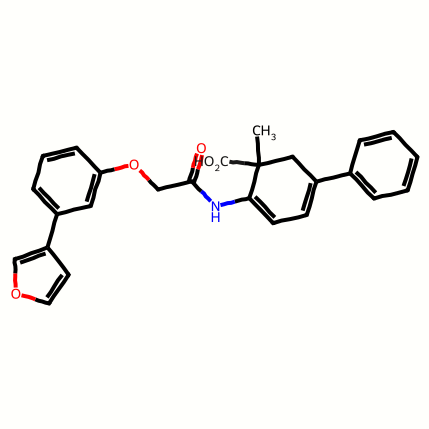 CC1(C(=O)O)CC(c2ccccc2)=CC=C1NC(=O)COc1cccc(-c2ccoc2)c1